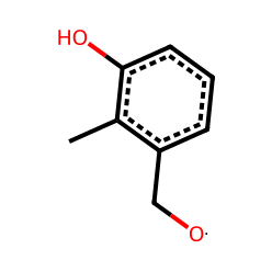 Cc1c(O)cccc1C[O]